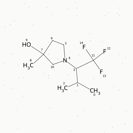 CC(C)C(N1CCC(C)(O)C1)C(F)(F)F